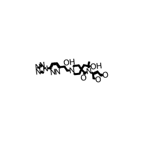 CC1(O)CC2(CCN(CC(O)c3ccc(-n4cnnn4)nn3)CC2)C(=O)N1C1=CC(=O)OC1